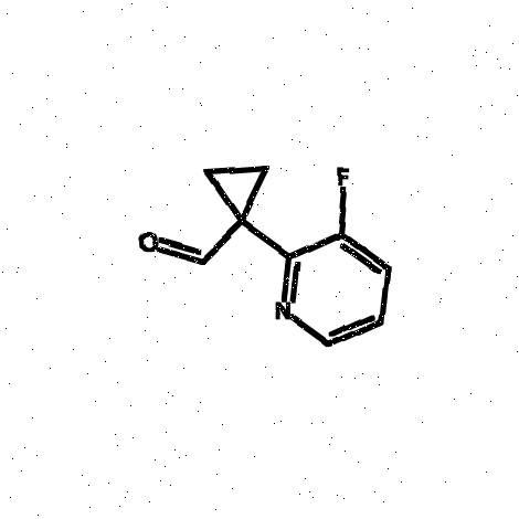 O=CC1(c2ncccc2F)CC1